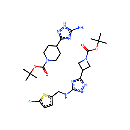 CC(C)(C)OC(=O)N1CC(c2n[nH]c(NCc3ccc(Cl)s3)n2)C1.CC(C)(C)OC(=O)N1CCC(c2n[nH]c(N)n2)CC1